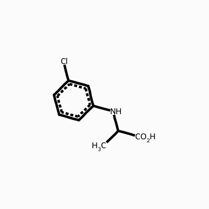 CC(Nc1cccc(Cl)c1)C(=O)O